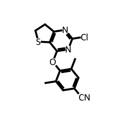 Cc1cc(C#N)cc(C)c1Oc1nc(Cl)nc2c1SCC2